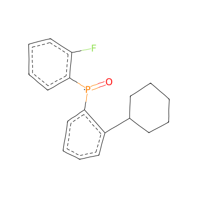 O=[P](c1ccccc1F)c1ccccc1C1CCCCC1